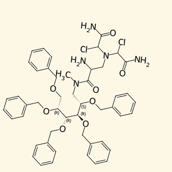 CN(C[C@H](OCc1ccccc1)[C@@H](OCc1ccccc1)[C@H](OCc1ccccc1)[C@@H](COCc1ccccc1)OCc1ccccc1)C(=O)C(N)CN(C(Cl)C(N)=O)C(Cl)C(N)=O